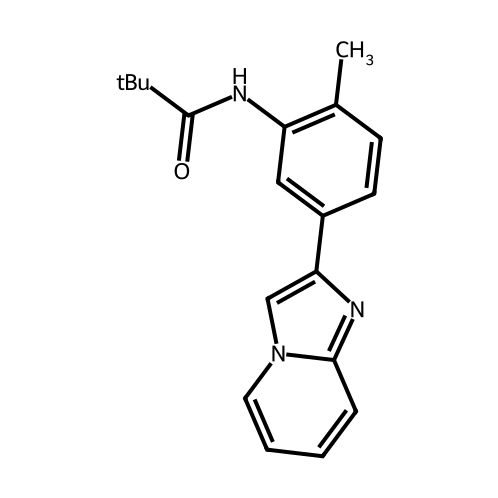 Cc1ccc(-c2cn3ccccc3n2)cc1NC(=O)C(C)(C)C